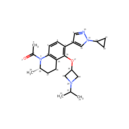 CC(=O)N1c2ccc(-c3cnn(C4CC4)c3)c(OC3CN(C(C)C)C3)c2CC[C@@H]1C